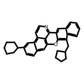 c1ccc2c(CC3CCCC3)c3c(cc2c1)-c1nccc2c1c(cc1ccc(C4CCCCC4)cc12)O3